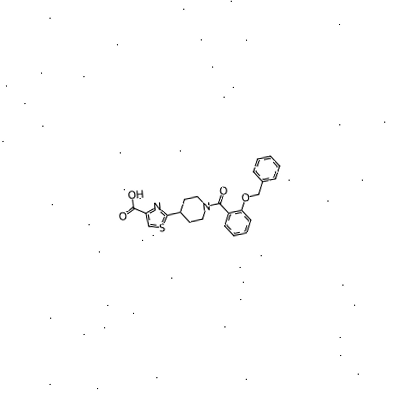 O=C(O)c1csc(C2CCN(C(=O)c3ccccc3OCc3ccccc3)CC2)n1